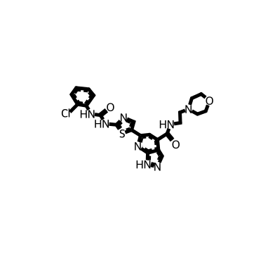 O=C(Nc1ncc(-c2cc(C(=O)NCCN3CCOCC3)c3cn[nH]c3n2)s1)Nc1ccccc1Cl